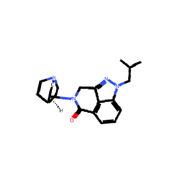 CC(C)Cn1nc2c3c(cccc31)C(=O)N([C@@H]1CN3CCC1CC3)C2